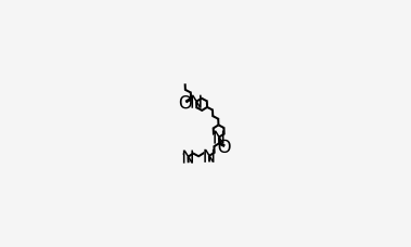 CCCC(=O)N1CCC(CCCC2CCN(C(=O)CCN(C)CCCN(C)C)CC2)CC1